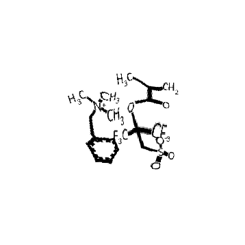 C=C(C)C(=O)OC(CS(=O)(=O)[O-])(C(F)(F)F)C(F)(F)F.C[N+](C)(C)Cc1ccccc1